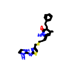 Cc1cc(CCSCc2csc(N=C3NCCN3)n2)[nH]c(=O)c1CCc1ccccc1